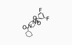 O=C(C1CCCCC1)N1CCN(S(=O)(=O)c2cc(F)cc(F)c2)CC1